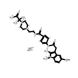 COc1ccc2c(c1)c(CC(=O)Oc1ccc(C(=O)OCCN3CCN(C(C)(C)C(N)=O)CC3)cc1)c(C)n2C.Cl.Cl